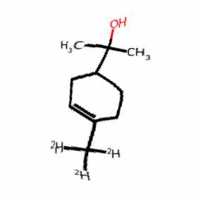 [2H]C([2H])([2H])C1=CCC(C(C)(C)O)CC1